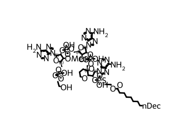 CCCCCCCCCCCCCCCCCC(=O)OCCSP(=O)(O)OC1C2OCCC[C@]2(COP(=O)(O)OC2C(O)[C@@H](COP(=O)(O)OC3C(OC)[C@@H](COP(=O)(O)OCCO)O[C@H]3n3cnc4c(N)ncnc43)O[C@H]2n2cnc3c(N)ncnc32)O[C@H]1n1cnc2c(N)ncnc21